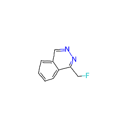 FCc1nncc2ccccc12